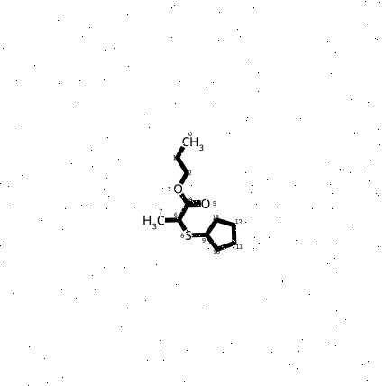 CCCOC(=O)C(C)SC1CCCC1